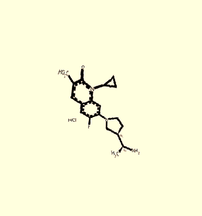 C[C@H](N)[C@@H]1CCN(c2cc3c(cc2F)cc(C(=O)O)c(=O)n3C2CC2)C1.Cl